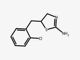 NC1=NCC(Cc2ccccc2Cl)S1